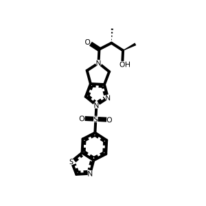 C[C@@H](O)[C@@H](C)C(=O)N1Cc2cn(S(=O)(=O)c3ccc4ncsc4c3)nc2C1